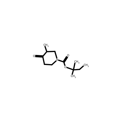 CCC(C)(C)OC(=O)N1CCC(=O)C(C)C1